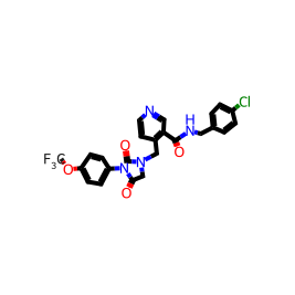 O=C(NCc1ccc(Cl)cc1)c1cnccc1CN1CC(=O)N(c2ccc(OC(F)(F)F)cc2)C1=O